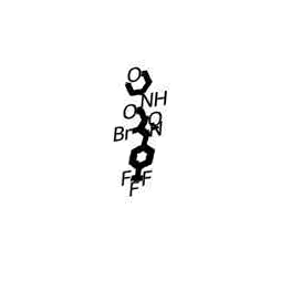 O=C(NC1CCOCC1)c1onc(-c2ccc(C(F)(F)F)cc2)c1Br